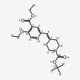 CCOC(=O)c1cc(C=C2CCN(C(=O)OC(C)(C)C)CC2)ncc1OCC